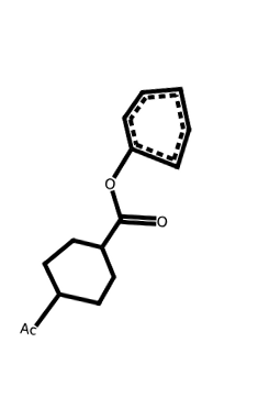 CC(=O)C1CCC(C(=O)Oc2ccccc2)CC1